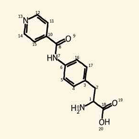 NC(Cc1ccc(NC(=O)c2ccncc2)cc1)C(=O)O